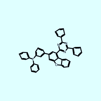 c1ccc(-c2nc(-c3ccccc3)nc(-c3cc(-c4cccc(P(c5ccccc5)c5ccccc5)c4)cc4oc5ccccc5c34)n2)cc1